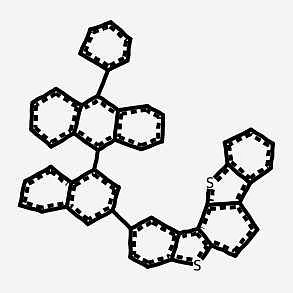 c1ccc(-c2c3ccccc3c(-c3cc(-c4ccc5sc6ccc7c8ccccc8sc7c6c5c4)cc4ccccc34)c3ccccc23)cc1